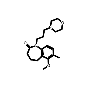 COc1c(C)ccc2c1CCCC(=O)N2CCCN1CCOCC1